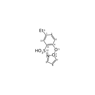 CCc1ccc(O[o+]2cccn2)c(S(=O)(=O)O)c1